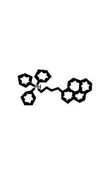 c1ccc([PH](CCCCc2ccc3ccc4cccc5ccc2c3c45)(c2ccccc2)c2ccccc2)cc1